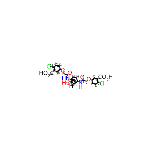 O=C(COc1ccc(Cl)c(C(=O)O)c1)NC12CCC(NC(=O)COc3ccc(Cl)c(C(=O)O)c3)(CC1)[C@@H](O)C2